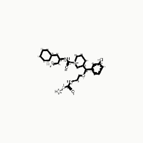 COC(=O)NCCOC(c1cccc(Cl)c1)C1CCCN(C(=O)NC(CN)CC2CCCCC2)C1